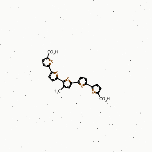 Cc1cc(-c2ccc(-c3ccc(C(=O)O)s3)s2)sc1-c1ccc(-c2ccc(C(=O)O)s2)s1